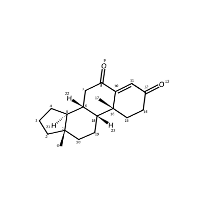 C[C@@]12CCC[C@H]1[C@@H]1CC(=O)C3=CC(=O)CC[C@]3(C)[C@@H]1CC2